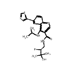 CC(C)Nc1c(C(=O)NCC(F)C(C)(C)O)cnc2ccc(-c3cncs3)cc12